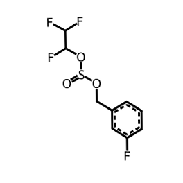 O=S(OCc1cccc(F)c1)OC(F)C(F)F